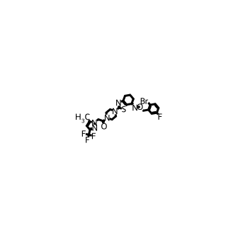 Cc1cc(C(F)(F)F)nn1CC(=O)N1CCN(c2nc3c(s2)C(=NOCc2cc(F)ccc2Br)CCC3)CC1